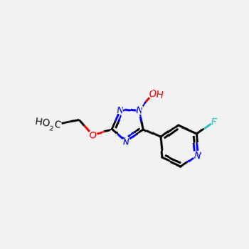 O=C(O)COc1nc(-c2ccnc(F)c2)n(O)n1